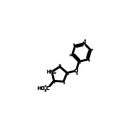 O=C(O)C1CC(Oc2ccncc2)CN1